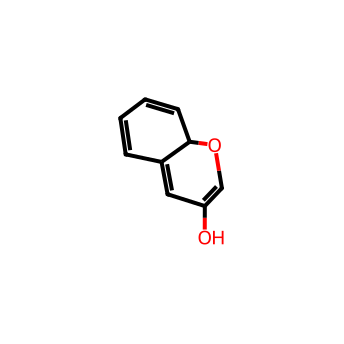 OC1=COC2C=CC=CC2=C1